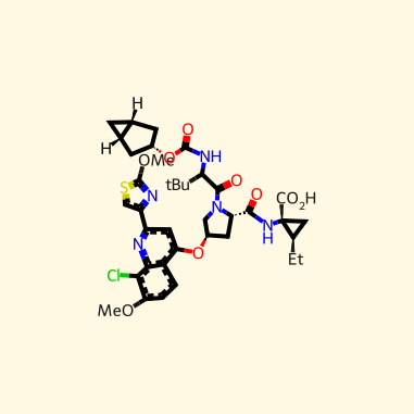 CC[C@@H]1C[C@]1(NC(=O)[C@@H]1C[C@@H](Oc2cc(-c3csc(OC)n3)nc3c(Cl)c(OC)ccc23)CN1C(=O)C(NC(=O)O[C@@H]1C[C@@H]2C[C@@H]2C1)C(C)(C)C)C(=O)O